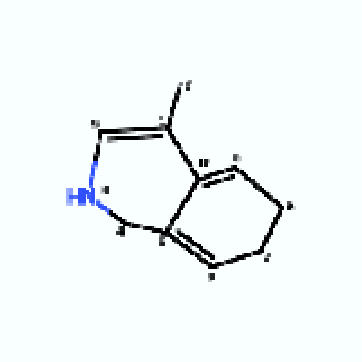 CC1=CNCC2=CCCC=C12